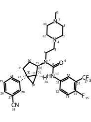 CN1CCN(CCN(C(=O)Nc2ccc(F)c(C(F)(F)F)c2)[C@@H]2CC[C@]3(c4cccc(C#N)c4)C[C@H]23)CC1